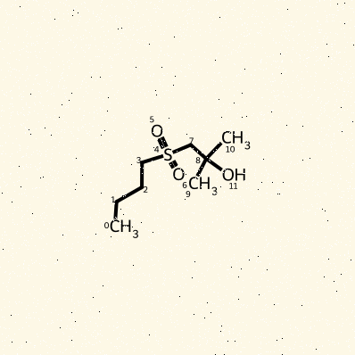 CCCCS(=O)(=O)CC(C)(C)O